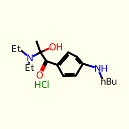 CCCCNc1ccc(C(=O)C(C)(O)N(CC)CC)cc1.Cl